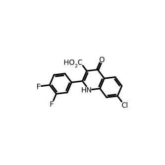 O=C(O)c1c(-c2ccc(F)c(F)c2)[nH]c2cc(Cl)ccc2c1=O